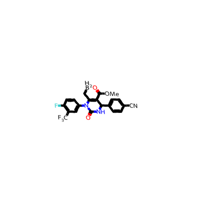 BCC1=C(C(=O)OC)C(c2ccc(C#N)cc2)NC(=O)N1c1ccc(F)c(C(F)(F)F)c1